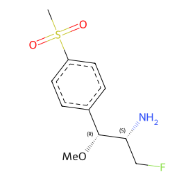 CO[C@H](c1ccc(S(C)(=O)=O)cc1)[C@H](N)CF